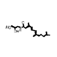 CC(C)=CCCC(C)=CCCC(C)=CC(=O)NCC(O)CO